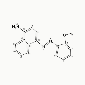 COc1ccccc1/N=N/c1ccc(N)c2ccccc12